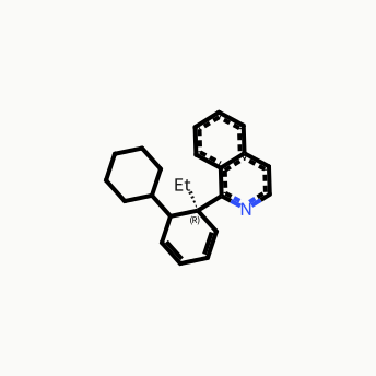 CC[C@]1(c2nccc3ccccc23)C=CC=CC1C1CCCCC1